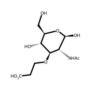 CC(=O)N[C@@H]1[C@@H](OCCC(=O)O)[C@H](O)[C@@H](CO)O[C@H]1O